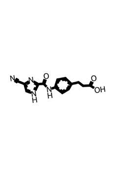 N#Cc1c[nH]c(C(=O)Nc2ccc(CCC(=O)O)cc2)n1